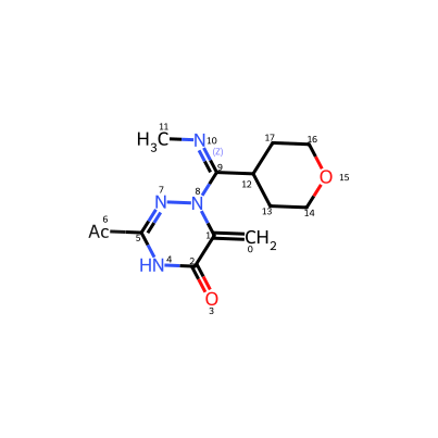 C=C1C(=O)NC(C(C)=O)=NN1/C(=N\C)C1CCOCC1